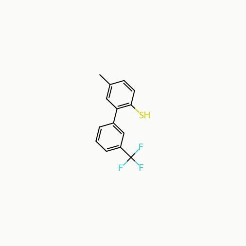 Cc1ccc(S)c(-c2cccc(C(F)(F)F)c2)c1